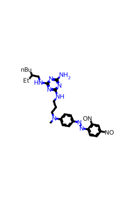 CCCCC(CC)CNc1nc(N)nc(NCCCN(C)c2ccc(N=Nc3ccc(N=O)cc3N=O)cc2)n1